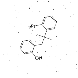 CCCc1ccccc1C(C)(C)Cc1ccccc1O